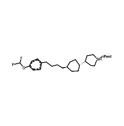 CCCCC[SiH]1CCC([C@H]2CC[C@H](CCCCc3ccc(OC(F)F)cc3)CC2)CC1